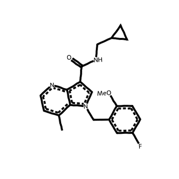 COc1ccc(F)cc1Cn1cc(C(=O)NCC2CC2)c2nccc(C)c21